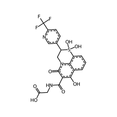 O=C(O)CNC(=O)c1c(O)c2cccc3c2n(c1=O)CC(c1ccc(C(F)(F)F)nc1)S3(O)O